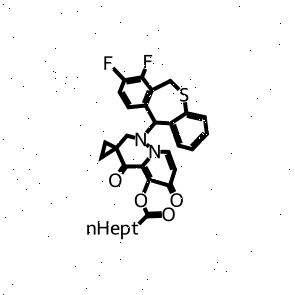 CCCCCCCC(=O)Oc1c2n(ccc1=O)N(C1c3ccccc3SCc3c1ccc(F)c3F)CC1(CC1)C2=O